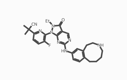 CCn1c(=O)c2cnc(Nc3ccc4c(c3)CCNCCCC4)nc2n1-c1nc(C(C)(C)C#N)ccc1F